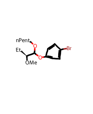 CCCCCOC(Oc1ccc(Br)cc1)[C@H](CC)OC